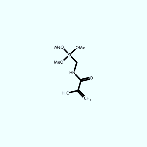 C=C(C)C(=O)NC[Si](OC)(OC)OC